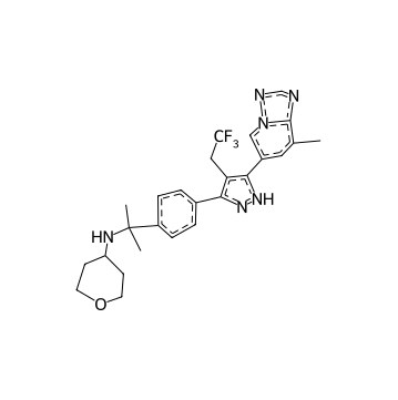 Cc1cc(-c2[nH]nc(-c3ccc(C(C)(C)NC4CCOCC4)cc3)c2CC(F)(F)F)cn2ncnc12